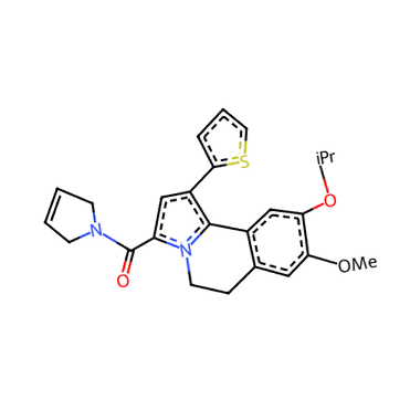 COc1cc2c(cc1OC(C)C)-c1c(-c3cccs3)cc(C(=O)N3CC=CC3)n1CC2